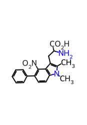 Cc1c(CC(N)C(=O)O)c2c([N+](=O)[O-])c(-c3ccccc3)ccc2n1C